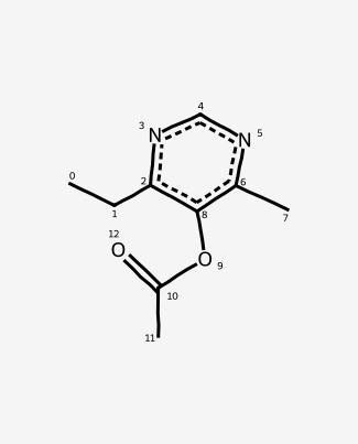 CCc1ncnc(C)c1OC(C)=O